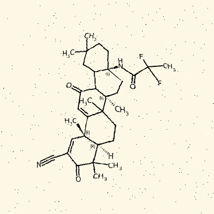 CC1(C)CC[C@]2(NC(=O)C(C)(F)F)CC[C@]3(C)C(C(=O)C=C4C3(C)CC[C@H]3C(C)(C)C(=O)C(C#N)=C[C@]43C)C2C1